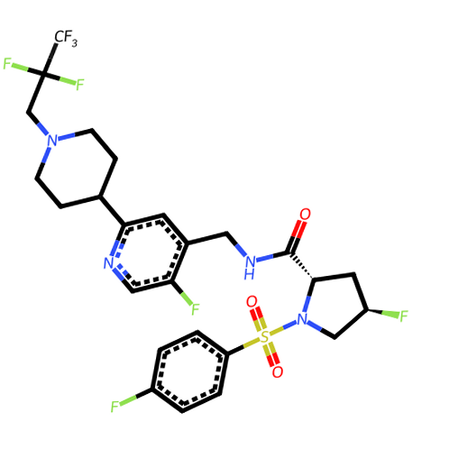 O=C(NCc1cc(C2CCN(CC(F)(F)C(F)(F)F)CC2)ncc1F)[C@@H]1C[C@@H](F)CN1S(=O)(=O)c1ccc(F)cc1